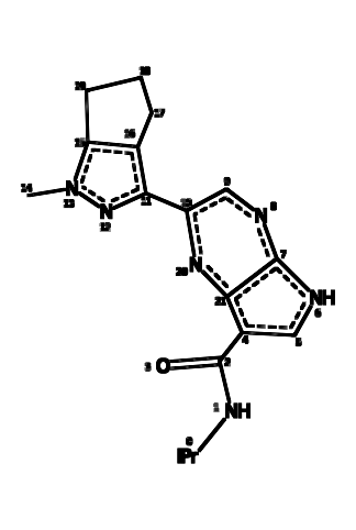 CC(C)NC(=O)c1c[nH]c2ncc(-c3nn(C)c4c3CCC4)nc12